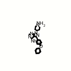 Nc1ncnc2c1c(-c1ccc(Oc3ccccc3)cc1)nn2C1CCN(N)CC1